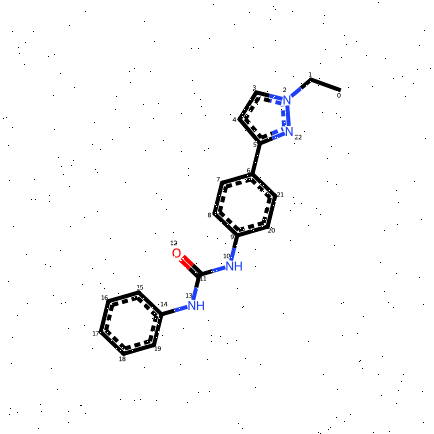 CCn1ccc(-c2ccc(NC(=O)Nc3ccccc3)cc2)n1